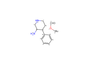 CC(C)(C)OC=O.NC1CNCCC1c1ccccc1